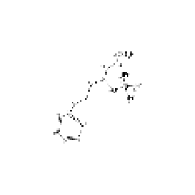 CC(C)[Si](OC(CCCc1ccccc1)CCC(=O)O)(C(C)C)C(C)C